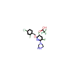 Fc1cc(Cl)ccc1COc1nc(N2CCNCC2)c(F)cc1F.O=C(O)C(F)(F)F